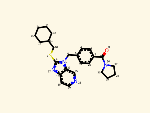 O=C(c1ccc(Cn2c(SCC3CCCCC3)nc3ccncc32)cc1)N1CCCC1